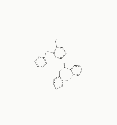 O=C(O)Cc1ccccc1Sc1ccccc1.O=C1Cc2ccccc2Sc2ccccc21